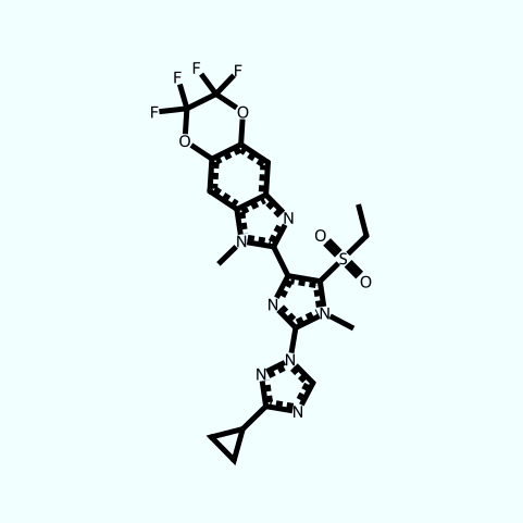 CCS(=O)(=O)c1c(-c2nc3cc4c(cc3n2C)OC(F)(F)C(F)(F)O4)nc(-n2cnc(C3CC3)n2)n1C